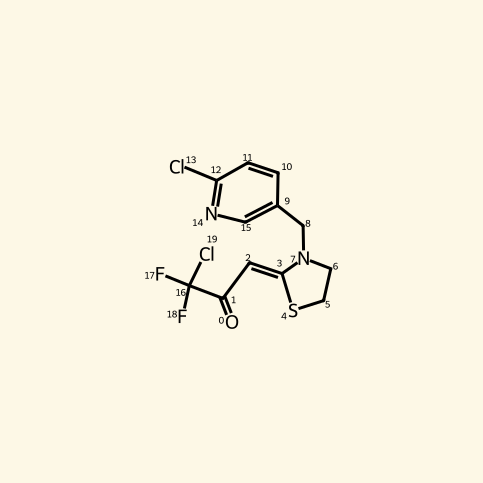 O=C(C=C1SCCN1Cc1ccc(Cl)nc1)C(F)(F)Cl